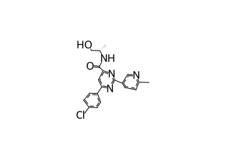 Cc1ccc(-c2nc(C(=O)N[C@@H](C)CO)cc(-c3ccc(Cl)cc3)n2)cn1